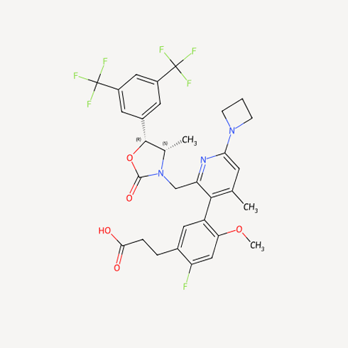 COc1cc(F)c(CCC(=O)O)cc1-c1c(C)cc(N2CCC2)nc1CN1C(=O)O[C@H](c2cc(C(F)(F)F)cc(C(F)(F)F)c2)[C@@H]1C